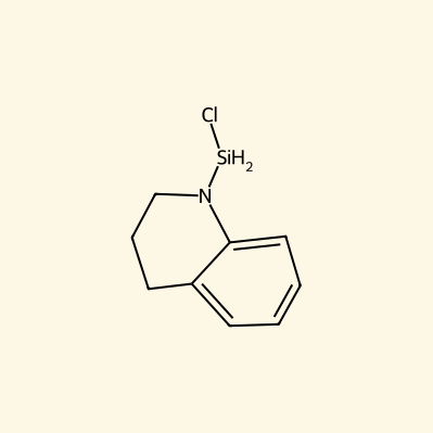 Cl[SiH2]N1CCCc2ccccc21